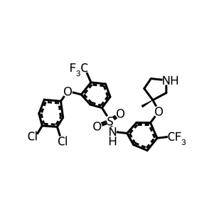 C[C@@]1(Oc2cc(NS(=O)(=O)c3ccc(C(F)(F)F)c(Oc4ccc(Cl)c(Cl)c4)c3)ccc2C(F)(F)F)CCNC1